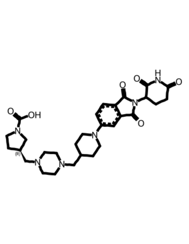 O=C1CCC(N2C(=O)c3ccc(N4CCC(CN5CCN(C[C@H]6CCN(C(=O)O)C6)CC5)CC4)cc3C2=O)C(=O)N1